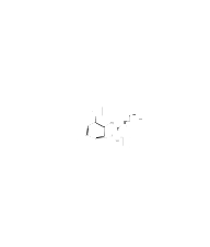 Cc1cc(C)c(CC(=O)C(C)(C)C)c(C)c1